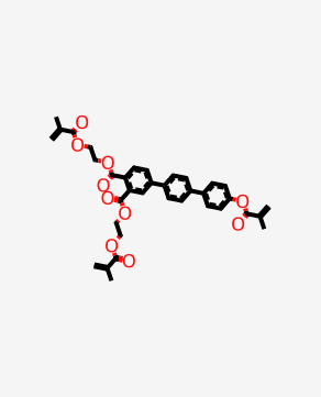 C=C(C)C(=O)OCCOC(=O)c1ccc(-c2ccc(-c3ccc(OC(=O)C(=C)C)cc3)cc2)cc1C(=O)OCCOC(=O)C(=C)C